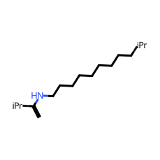 C=C(NCCCCCCCCCC(C)C)C(C)C